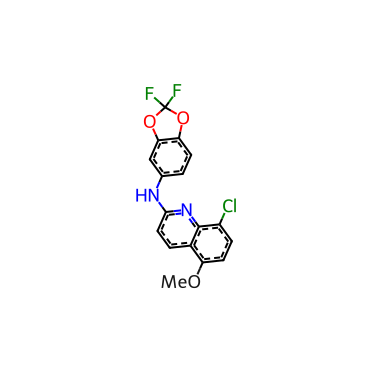 COc1ccc(Cl)c2nc(Nc3ccc4c(c3)OC(F)(F)O4)ccc12